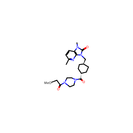 COCC(=O)N1CCN(C(=O)[C@H]2CC[C@H](Cn3c(=O)n(C)c4ccc(C)nc43)CC2)CC1